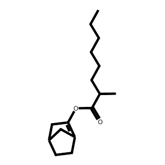 CCCCCCC(C)C(=O)OC1=C2CCC(C2)C1